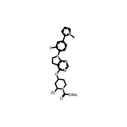 CCC1CC(Oc2ncnc3c2CCN3c2ccc(-c3cccn3C)cc2F)CCN1C(=O)OC